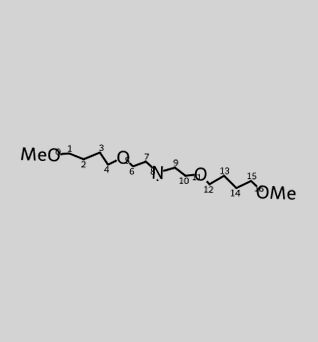 COCCCCOCC[N]CCOCCCCOC